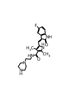 Cc1[nH]c(/C=C2\C(=O)Nc3ccc(F)cc32)c(C)c1C(=O)NCCN1CCNCC1